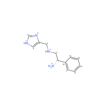 N[C@H](CNCc1c[nH]cn1)c1ccccc1